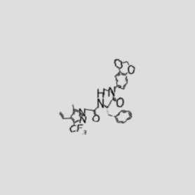 C=Cc1c(C(F)(F)F)nn(CC(=O)N[C@@H](Cc2ccccc2)C(=O)N(C)c2ccc3c(c2)OCO3)c1C